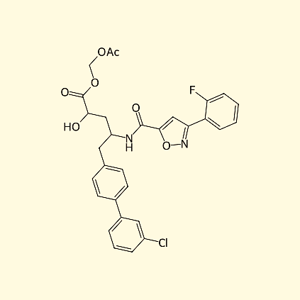 CC(=O)OCOC(=O)C(O)CC(Cc1ccc(-c2cccc(Cl)c2)cc1)NC(=O)c1cc(-c2ccccc2F)no1